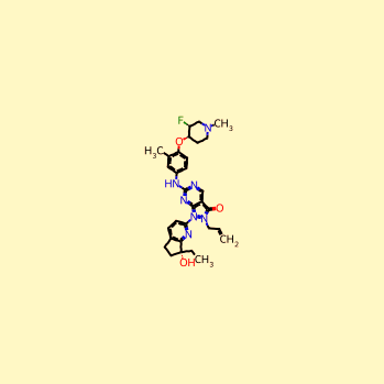 C=CCn1c(=O)c2cnc(Nc3ccc(O[C@@H]4CCN(C)C[C@@H]4F)c(C)c3)nc2n1-c1ccc2c(n1)[C@@](O)(CC)CC2